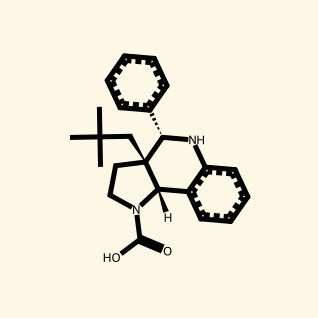 CC(C)(C)C[C@]12CCN(C(=O)O)[C@H]1c1ccccc1N[C@H]2c1ccccc1